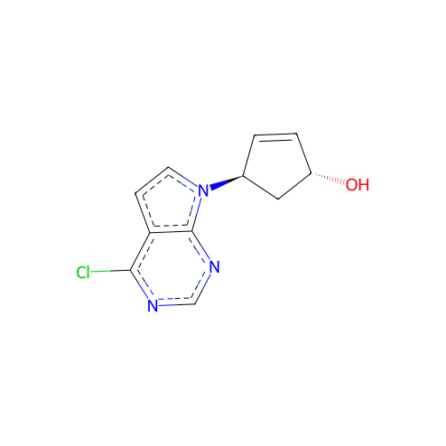 O[C@H]1C=C[C@H](n2ccc3c(Cl)ncnc32)C1